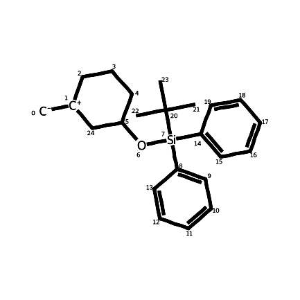 [CH2-][C+]1CCCC(O[Si](c2ccccc2)(c2ccccc2)C(C)(C)C)C1